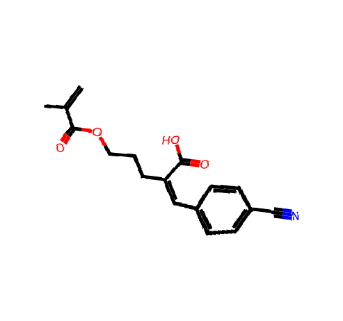 C=C(C)C(=O)OCCCC(=Cc1ccc(C#N)cc1)C(=O)O